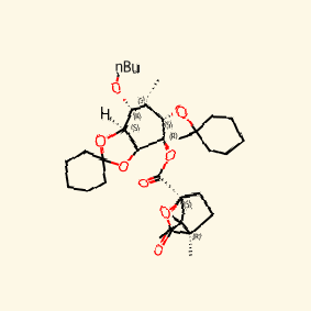 CCCCO[C@@H]1[C@H](C)[C@H](OC2(C)CCCCC2)[C@@H](OC(=O)[C@@]23CC[C@@](C)(C(=O)O2)C3(C)C)C2OC3(CCCCC3)O[C@H]21